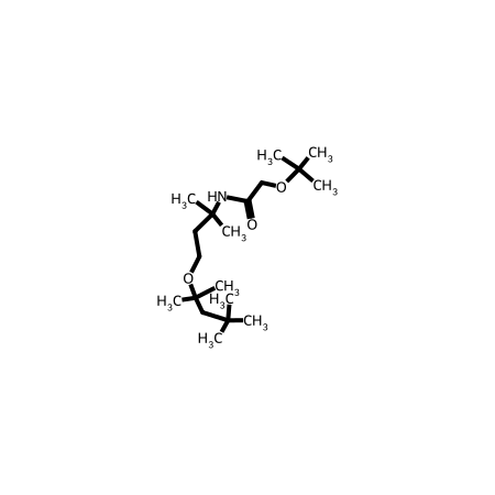 CC(C)(C)CC(C)(C)OCCC(C)(C)NC(=O)COC(C)(C)C